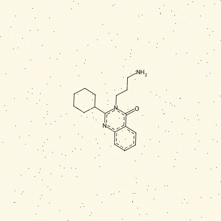 NCCCn1c(C2CCCCC2)nc2ccccc2c1=O